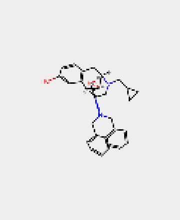 Oc1ccc2c(c1)[C@]13CCN(CC4CC4)[C@H](C2)[C@]1(O)C[C@H](N(Cc1ccccc1)Cc1ccccc1)C3